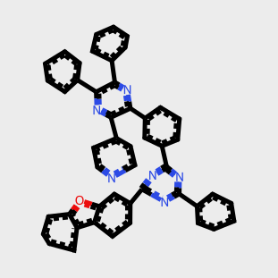 c1ccc(-c2nc(-c3cccc(-c4nc(-c5ccccc5)c(-c5ccccc5)nc4-c4ccncc4)c3)nc(-c3ccc4c(c3)oc3ccccc34)n2)cc1